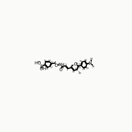 CC(/C=C/C(=O)NOCc1ccc(B(O)O)cc1)=C\[C@@H](C)C(=O)c1ccc(N(C)C)cc1